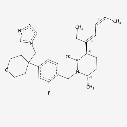 C=C/C(=C\C=C/C)[C@H]1CC[C@H](C)N(Cc2ccc(C3(Cn4cnnc4)CCOCC3)cc2F)[S+]1[O-]